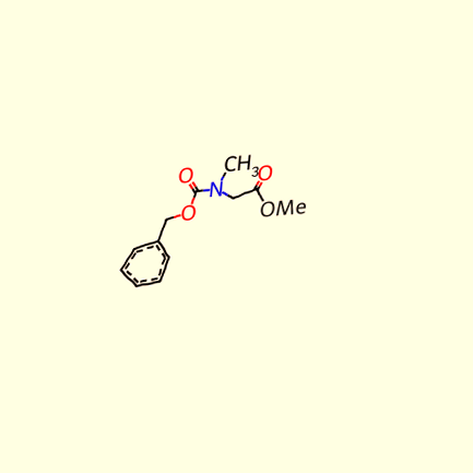 COC(=O)CN(C)C(=O)OCc1ccccc1